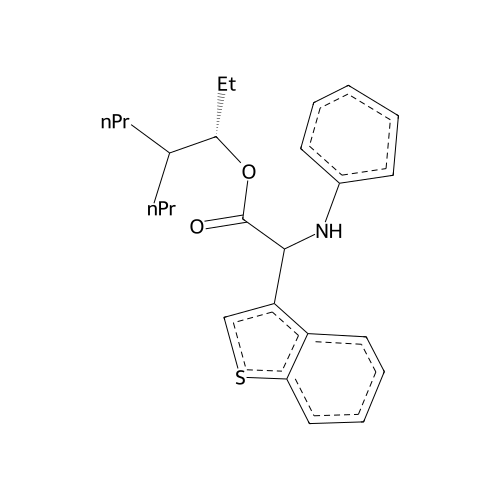 CCCC(CCC)[C@H](CC)OC(=O)C(Nc1ccccc1)c1csc2ccccc12